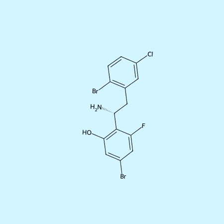 N[C@H](Cc1cc(Cl)ccc1Br)c1c(O)cc(Br)cc1F